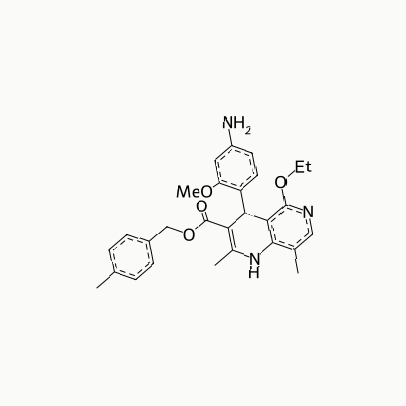 CCOc1ncc(C)c2c1C(c1ccc(N)cc1OC)C(C(=O)OCc1ccc(C)cc1)=C(C)N2